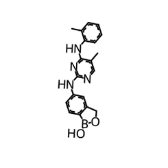 Cc1ccccc1Nc1nc(Nc2ccc3c(c2)COB3O)ncc1C